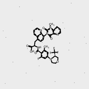 Cc1cc(N2CCOC[C@@H]2C(F)(F)F)cc(F)c1C(=O)NC(Cc1ccc(-n2c(=O)c3ncccc3n(C)c2=O)c2ncccc12)C(=O)O